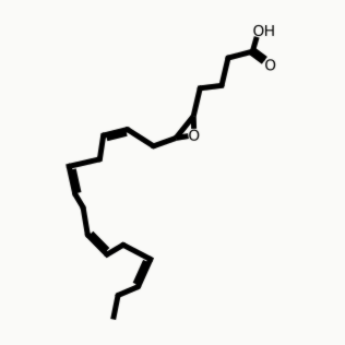 CC/C=C\C/C=C\C/C=C\C/C=C\CC1OC1CCCC(=O)O